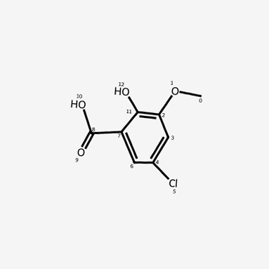 COc1cc(Cl)cc(C(=O)O)c1O